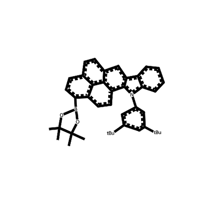 CC(C)(C)c1cc(-n2c3ccccc3c3cc4ccc5ccc(B6OC(C)(C)C(C)(C)O6)c6ccc(c4c56)c32)cc(C(C)(C)C)c1